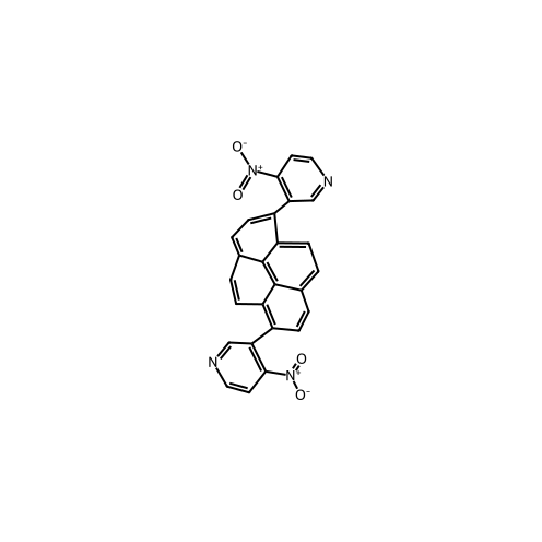 O=[N+]([O-])c1ccncc1-c1ccc2ccc3c(-c4cnccc4[N+](=O)[O-])ccc4ccc1c2c43